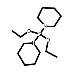 CCO[Si](OCC)(N1CCCCC1)N1CCCCC1